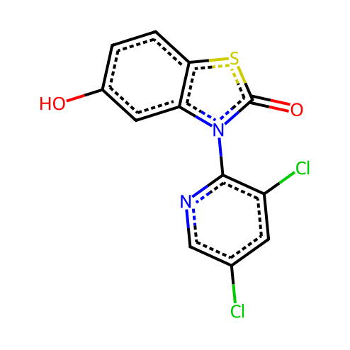 O=c1sc2ccc(O)cc2n1-c1ncc(Cl)cc1Cl